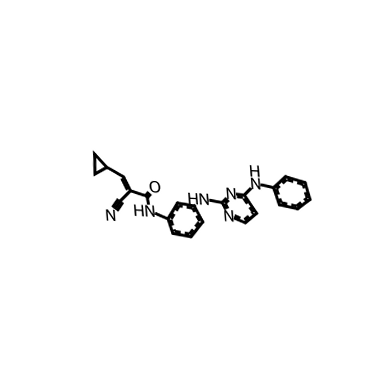 N#CC(=CC1CC1)C(=O)Nc1cccc(Nc2nccc(Nc3ccccc3)n2)c1